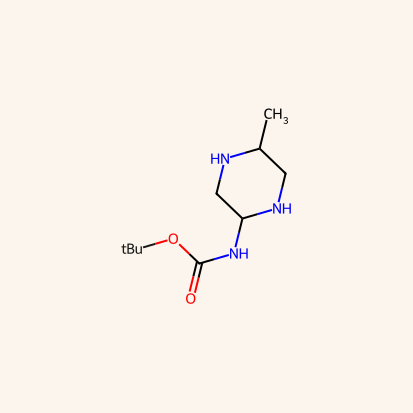 CC1CNC(NC(=O)OC(C)(C)C)CN1